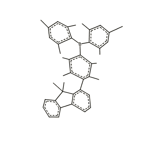 Cc1cc(C)c(B(c2c(C)cc(C)cc2C)c2c(C)c(C)c(-c3cccc4c3C(C)(C)c3ccccc3-4)c(C)c2C)c(C)c1